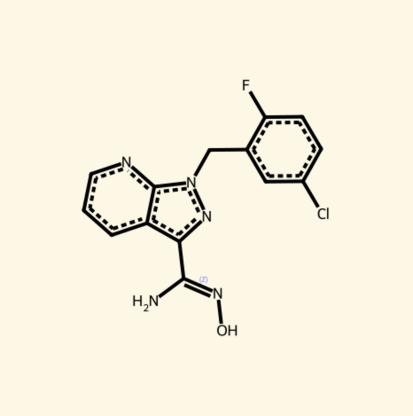 N/C(=N\O)c1nn(Cc2cc(Cl)ccc2F)c2ncccc12